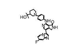 CC(C)(O)C1CCCN(c2ccc(Nc3ncc(-c4cnc5cc(F)ccn45)c4c3C(=O)NC4)cc2)C1